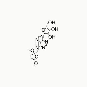 COC1=CCC(CNc2ncnc3c2ncn3[C@@H]2O[C@H](CO)[C@@H](O)[C@@H]2O)(OC)O1